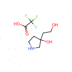 O=C(O)C(F)(F)F.OCCC1(O)CCNC1